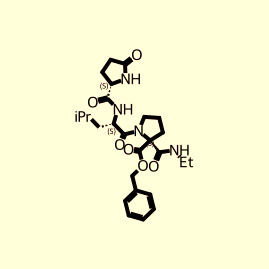 CCNC(=O)[C@]1(C(=O)OCc2ccccc2)CCCN1C(=O)[C@H](CC(C)C)NC(=O)[C@@H]1CCC(=O)N1